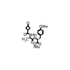 CCCCOC(=O)[C@H](Cc1ccc(OC)cc1)NC(=O)[C@@H](C)NC(=O)C1CC(=O)C1